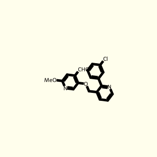 COc1cc(C=O)c(OCc2cccnc2-c2cccc(Cl)c2)cn1